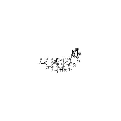 CC[C@H]1CC[C@H]2C(CC[C@@H]3C2CC[C@@]2(C)C3CC[C@@H]2[C@H](C)Cn2nnnc2C)C1